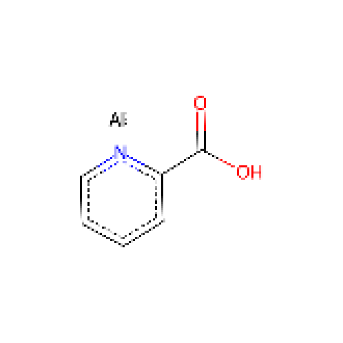 O=C(O)c1ccccn1.[Al]